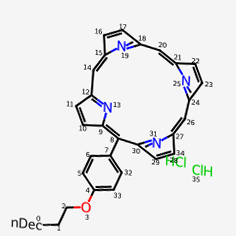 CCCCCCCCCCCCOc1ccc(C2=C3C=CC(=N3)C=C3C=CC(=N3)C=C3C=CC(=N3)C=C3C=CC2=N3)cc1.Cl.Cl